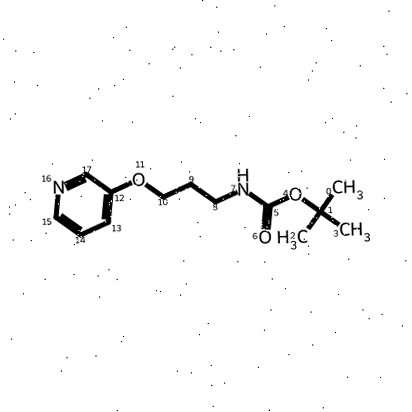 CC(C)(C)OC(=O)NCCCOc1cccnc1